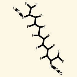 O=C=NC(C(F)F)C(F)C(F)C(F)C(F)C(F)C(F)C(F)C(F)C(N=C=O)C(F)F